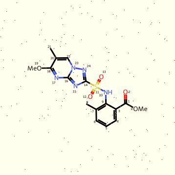 COC(=O)c1cccc(C)c1NS(=O)(=O)c1nc2nc(OC)c(C)cn2n1